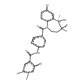 C[C@@]1(O)c2cc(Cl)ccc2N(C(=O)c2ccc(NC(=O)c3cc(F)c(F)cc3Cl)cc2)CCC1(F)F